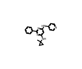 CC1(Nc2cc(Nc3ccncc3)nc(-c3ccccc3)n2)CC1